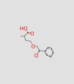 CC(CCOCC(=O)c1ccccc1)C(=O)O